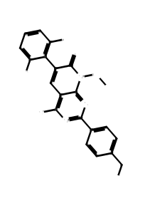 COn1c(=O)c(-c2c(Cl)cccc2Cl)cc2c(N)nc(-c3ccc(CO)cc3)nc21